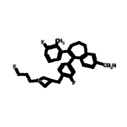 Cc1c(F)cccc1C1=C(c2ccc(CC3CN(CCCF)C3)c(F)c2)c2ccc(C(=O)O)cc2CCC1